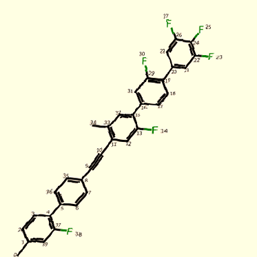 Cc1ccc(-c2ccc(C#Cc3cc(F)c(-c4ccc(-c5cc(F)c(F)c(F)c5)c(F)c4)cc3C)cc2)c(F)c1